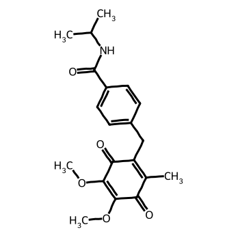 COC1=C(OC)C(=O)C(Cc2ccc(C(=O)NC(C)C)cc2)=C(C)C1=O